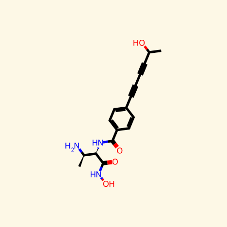 CC(O)C#CC#Cc1ccc(C(=O)N[C@H](C(=O)NO)[C@@H](C)N)cc1